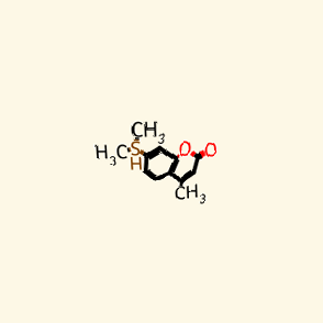 Cc1cc(=O)oc2cc([SH](C)C)ccc12